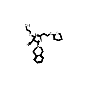 N#Cc1c(OCCO)nc(CCOC2CCCCO2)nc1N1CCc2ccccc2CC1